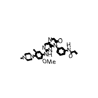 C=CC(=O)Nc1cccc(-n2c(=O)cnc3cnc(Nc4cc(C)c(N5CCN(C)CC5)cc4OC)nc32)c1